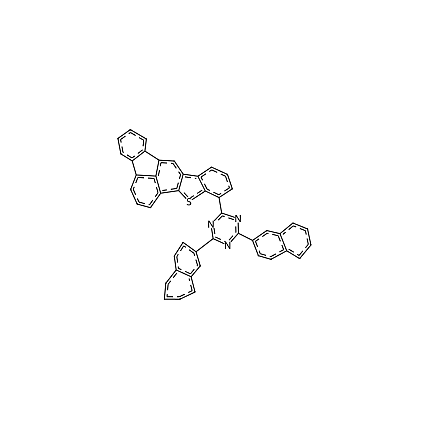 c1ccc2c(c1)-c1cccc3c1c-2cc1c2cccc(-c4nc(-c5ccc6ccccc6c5)nc(-c5ccc6ccccc6c5)n4)c2sc31